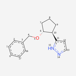 c1ccc(CO[C@@H]2CCC[C@H]2c2ccn[nH]2)cc1